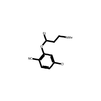 CCC(CCNC)Oc1cc(Cl)ccc1C#N